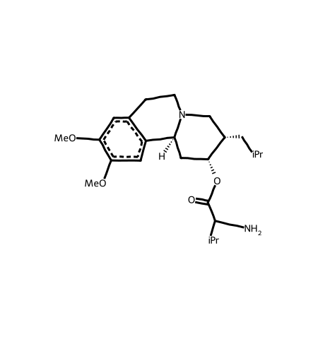 COc1cc2c(cc1OC)[C@@H]1C[C@@H](OC(=O)C(N)C(C)C)[C@@H](CC(C)C)CN1CC2